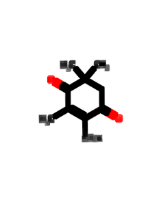 CCCCCCC1=C(C)C(=O)C(C)(C)CC1=O